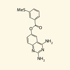 CSc1cccc(C(=O)Oc2ccc3nc(N)nc(N)c3c2)c1